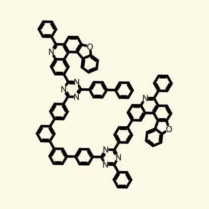 c1ccc(-c2ccc(-c3nc(-c4ccc(-c5cccc(-c6cccc(-c7ccc(-c8nc(-c9ccccc9)nc(-c9ccc(-c%10ccc%11nc(-c%12ccccc%12)c%12ccc%13oc%14ccccc%14c%13c%12c%11c%10)cc9)n8)cc7)c6)c5)cc4)nc(-c4ccc5nc(-c6ccccc6)c6ccc7oc8ccccc8c7c6c5c4)n3)cc2)cc1